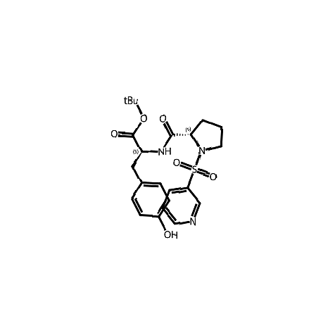 CC(C)(C)OC(=O)[C@H](Cc1ccc(O)cc1)NC(=O)[C@@H]1CCCN1S(=O)(=O)c1cccnc1